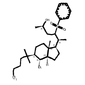 CC[C@@H]1[C@@H](C(C)(C)CCCC(F)(F)F)CC[C@]2(C)[C@@H]([C@H](C)C(C[C@@H](C)O)S(=O)(=O)c3ccccc3)CC[C@@H]12